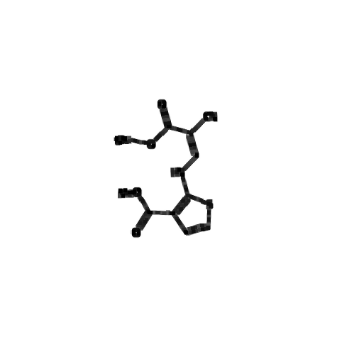 COC(=O)c1ccsc1NC=C(C#N)C(=O)OC(C)(C)C